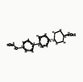 CCCCCCCCCCOc1ccc(-c2ncc([C@H]3CC[C@H](CCCCCCCC)CC3)cn2)cc1